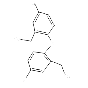 OCc1cc(F)ccc1Sc1ccc(Cl)cc1CO